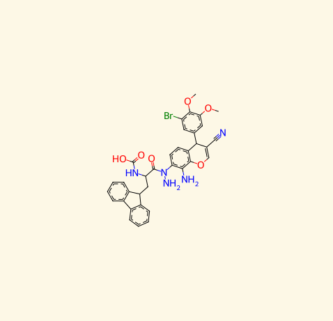 COc1cc(C2C(C#N)=COc3c2ccc(N(N)C(=O)C(CC2c4ccccc4-c4ccccc42)NC(=O)O)c3N)cc(Br)c1OC